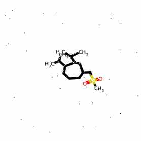 CC(C)C1CCCC(CS(C)(=O)=O)CC1C(C)C